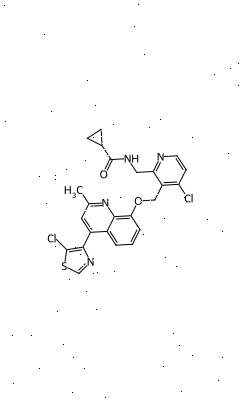 Cc1cc(-c2ncsc2Cl)c2cccc(OCc3c(Cl)ccnc3CNC(=O)C3CC3)c2n1